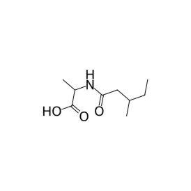 CCC(C)CC(=O)NC(C)C(=O)O